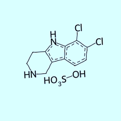 Clc1ccc2c3c([nH]c2c1Cl)CCNC3.O=S(=O)(O)O